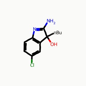 CCCCC1(O)C(N)=Nc2ccc(Cl)cc21